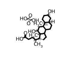 C[C@H](CCC(=O)O)[C@H]1CCC2C3CC[C@@H]4C[C@H](O)CC[C@]4(C)C3C[C@H](O)[C@@]21C.O=S(=O)(O)O